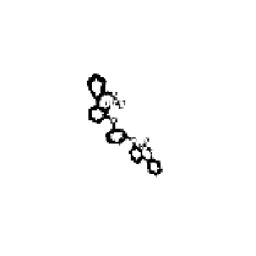 O=[PH]1Oc2ccccc2-c2cccc(Oc3cccc(Oc4cccc5c4[PH](=O)Oc4ccccc4-5)c3)c21